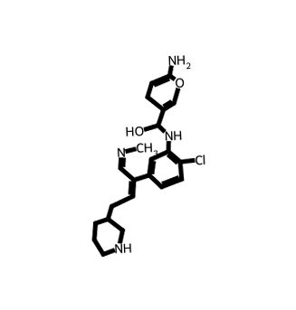 C/N=C\C(=C/CC1CCCNC1)c1ccc(Cl)c(NC(O)C2=COC(N)=CC2)c1